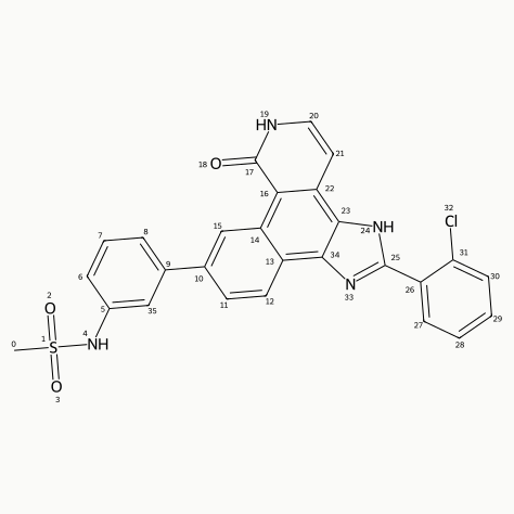 CS(=O)(=O)Nc1cccc(-c2ccc3c(c2)c2c(=O)[nH]ccc2c2[nH]c(-c4ccccc4Cl)nc32)c1